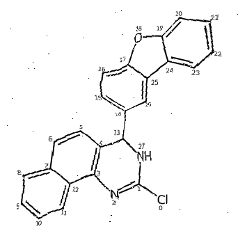 ClC1=Nc2c(ccc3ccccc23)C(c2ccc3oc4ccccc4c3c2)N1